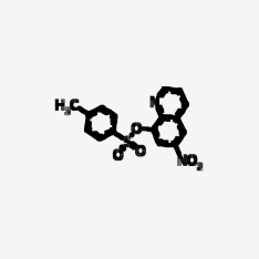 Cc1ccc(S(=O)(=O)Oc2cc([N+](=O)[O-])cc3cccnc23)cc1